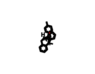 Cc1ccc(CN2[C@@H]3Cc4ccccc4[C@@]2(C)c2ccccc23)cc1